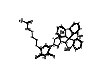 COc1ccccc1C(c1ccccc1)(c1ccccc1OC)C(O)[C@H]1O[C@@H](n2cc(CCCCNC(=O)C(F)(F)F)c(=O)[nH]c2=O)C[C@@H]1O